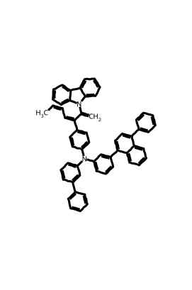 C=C(/C(=C\C=C/C)c1ccc(N(c2cccc(-c3ccccc3)c2)c2cccc(-c3ccc(-c4ccccc4)c4ccccc34)c2)cc1)n1c2ccccc2c2ccccc21